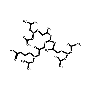 CC(C)OP(OC(C)C)SCC(C)OP(OC(C)CSP(OC(C)C)OC(C)C)SCC(C)OP(OC(C)C)SCCC(=O)O